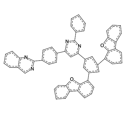 c1ccc(-c2nc(-c3ccc(-c4ncc5ccccc5n4)cc3)cc(-c3cc(-c4cccc5c4oc4ccccc45)cc(-c4cccc5c4oc4ccccc45)c3)n2)cc1